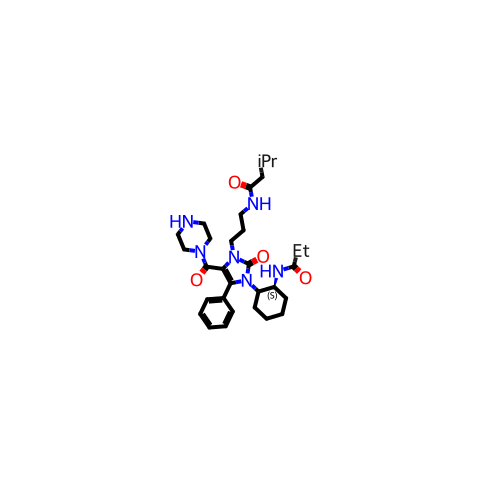 CCC(=O)N[C@H]1CCCCC1n1c(-c2ccccc2)c(C(=O)N2CCNCC2)n(CCCNC(=O)CC(C)C)c1=O